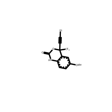 CCC#CC1(C(F)(F)F)OC(=O)Nc2ccc(OC)cc21